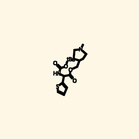 CN1CCC(COC(=O)C(NC(=O)OC(C)(C)C)c2cccs2)CC1